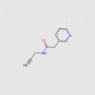 C#CCNC(=O)Cc1cccnc1